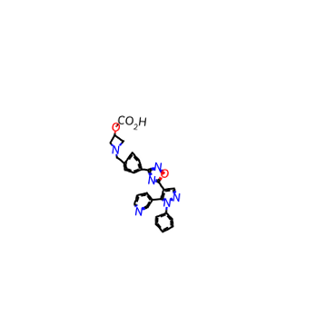 O=C(O)OC1CN(Cc2ccc(-c3noc(-c4cnn(-c5ccccc5)c4-c4cccnc4)n3)cc2)C1